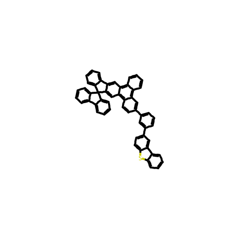 c1cc(-c2ccc3sc4ccccc4c3c2)cc(-c2ccc3c(c2)c2ccccc2c2cc4c(cc32)C2(c3ccccc3-c3ccccc32)c2ccccc2-4)c1